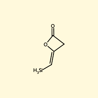 O=C1CC(=C[SiH3])O1